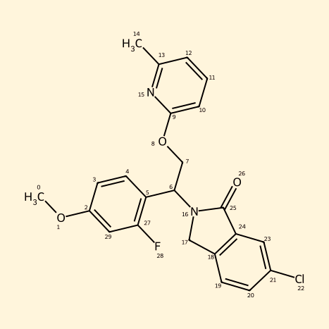 COc1ccc(C(COc2cccc(C)n2)N2Cc3ccc(Cl)cc3C2=O)c(F)c1